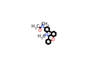 CC(=O)N(C)c1ccc2c3cccc4c3c([n+](C)c2c1)-c1ccccc1O4